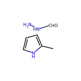 Cc1ccc[nH]1.NNC=O